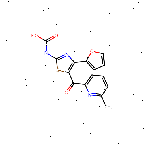 Cc1cccc(C(=O)c2sc(NC(=O)O)nc2-c2ccco2)n1